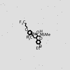 CCOc1ccc(C2=C(C(=O)NSC)C(=O)N[C@@](c3ccc(OCCCC(F)(F)F)cc3F)(C(F)(F)F)C2)cc1